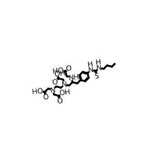 CCCCNC(=S)Nc1ccc(CC(CN(CCN(CC(=O)O)CC(=O)O)CC(=O)O)NCC(=O)O)cc1